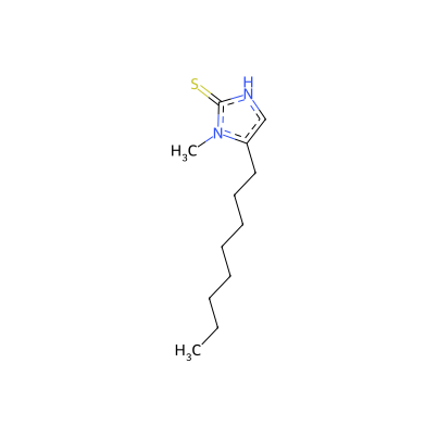 CCCCCCCCc1c[nH]c(=S)n1C